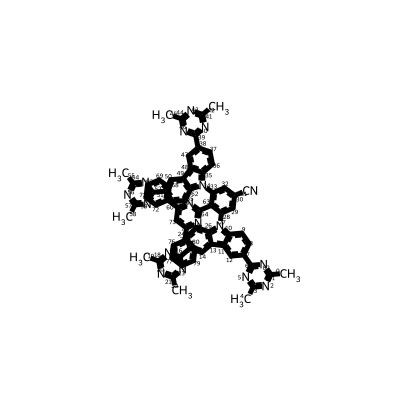 Cc1nc(C)nc(-c2ccc3c(c2)c2cc(-c4nc(C)nc(C)n4)ccc2n3-c2cc(C#N)cc(-n3c4ccc(-c5nc(C)nc(C)n5)cc4c4cc(-c5nc(C)nc(C)n5)ccc43)c2-c2nc(-c3ccccc3)cc(-c3ccccc3)n2)n1